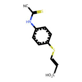 N#CC(=S)Nc1ccc(SC=CC(=O)O)cc1